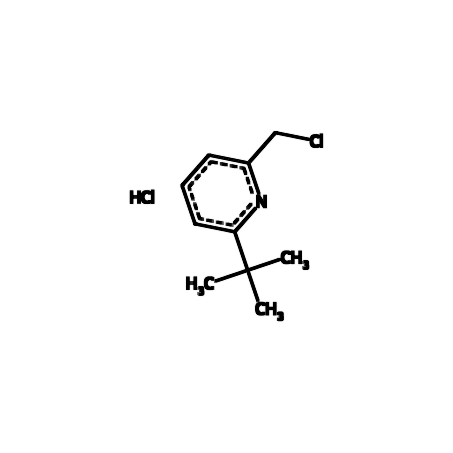 CC(C)(C)c1cccc(CCl)n1.Cl